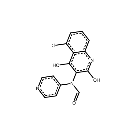 O=CN(c1ccncc1)c1c(O)nc2cccc(Cl)c2c1O